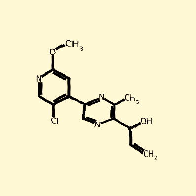 C=CC(O)c1ncc(-c2cc(OC)ncc2Cl)nc1C